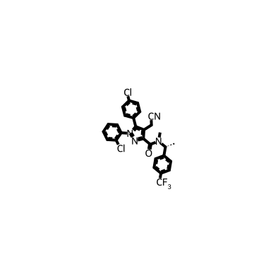 C[C@H](c1ccc(C(F)(F)F)cc1)N(C)C(=O)c1nn(-c2ccccc2Cl)c(-c2ccc(Cl)cc2)c1CC#N